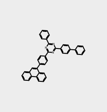 c1ccc(-c2ccc(-c3nc(-c4ccccc4)nc(-c4ccc(-c5cc6ccccc6c6ccccc56)cc4)n3)cc2)cc1